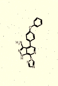 Nc1n[nH]c2c(-n3cncn3)ncc(-c3ccc(Oc4ccccc4)cc3)c12